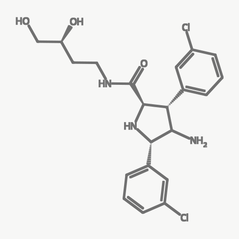 NC1[C@@H](c2cccc(Cl)c2)[C@H](C(=O)NCC[C@H](O)CO)N[C@H]1c1cccc(Cl)c1